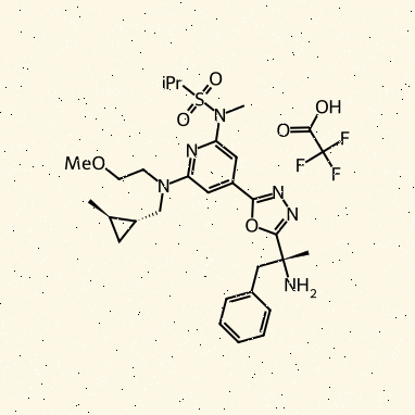 COCCN(C[C@@H]1C[C@H]1C)c1cc(-c2nnc([C@](C)(N)Cc3ccccc3)o2)cc(N(C)S(=O)(=O)C(C)C)n1.O=C(O)C(F)(F)F